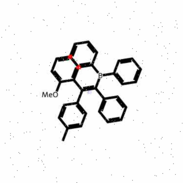 COc1ccccc1/C(=C(\B(c1ccccc1)c1ccccc1)c1ccccc1)c1ccc(C)cc1